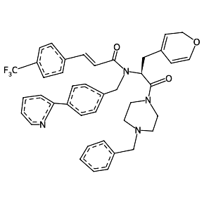 O=C([C@H](CC1=CCOC=C1)N(Cc1ccc(-c2ccccn2)cc1)C(=O)/C=C/c1ccc(C(F)(F)F)cc1)N1CCN(Cc2ccccc2)CC1